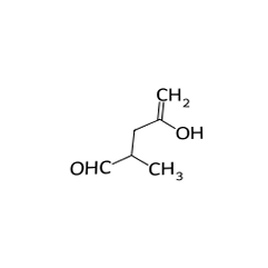 C=C(O)CC(C)C=O